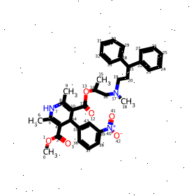 COC(=O)C1=C(C)NC(C)=C(C(=O)OC(C)CN(C)CCC(c2ccccc2)c2ccccc2)C1c1cccc([N+](=O)[O-])c1